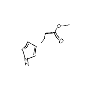 CCC(=O)OC.c1cc[nH]c1